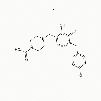 O=C(O)N1CCN(Cc2ccn(Cc3ccc(Cl)cc3)c(=O)c2O)CC1